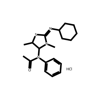 CC(=O)N(c1ccccc1)C1C(C)SC(=NC2CCCCC2)N1C.Cl